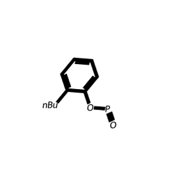 CCCCc1ccccc1OP=O